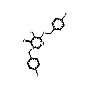 O=c1c(Cl)c(OCc2ccc(F)cc2)ncn1Cc1ccc(F)cc1